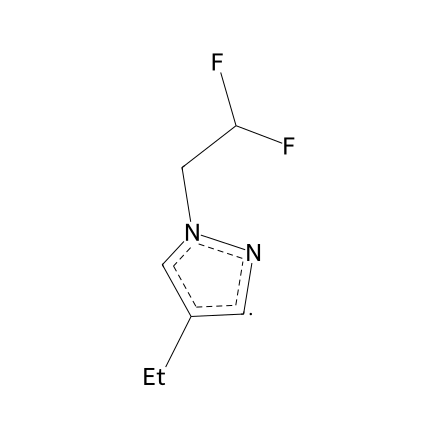 CCc1[c]nn(CC(F)F)c1